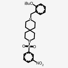 CC(C)COc1ccccc1CN1CCC2(CC1)CCN(S(=O)(=O)c1cccc([N+](=O)[O-])c1)CC2